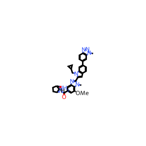 COc1cc(C(=O)N2CC3CCC2[C@@H]3N)cc2nc(-c3cc4ccc(-c5ccc6nnn(C)c6c5)cc4n3CC3CC3)n(C)c12